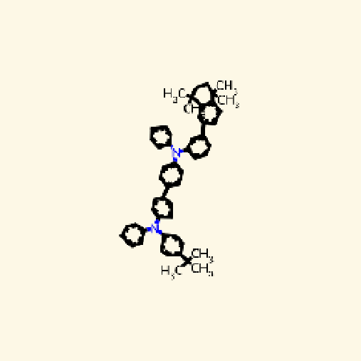 CC(C)(C)c1ccc(N(c2ccccc2)c2ccc(-c3ccc(N(c4ccccc4)c4cccc(-c5ccc6c(c5)C(C)(C)CCC6(C)C)c4)cc3)cc2)cc1